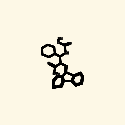 COC(=O)C(N=C1c2ccccc2-c2ccccc21)C(NC(=O)OC(C)(C)C)C1CCCCC1